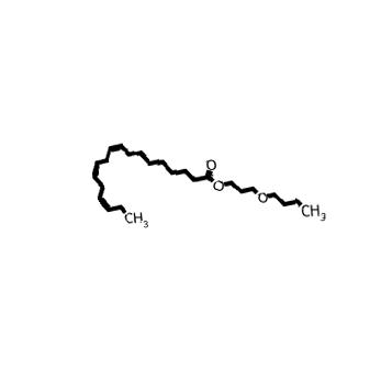 CC/C=C\C/C=C\C/C=C\CCCCCCCC(=O)OCCCOCCCC